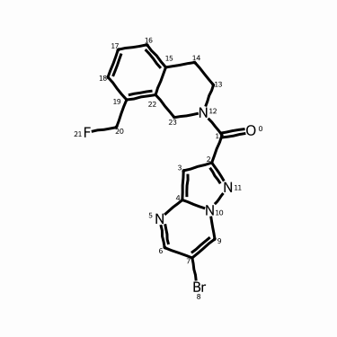 O=C(c1cc2ncc(Br)cn2n1)N1CCc2cccc(CF)c2C1